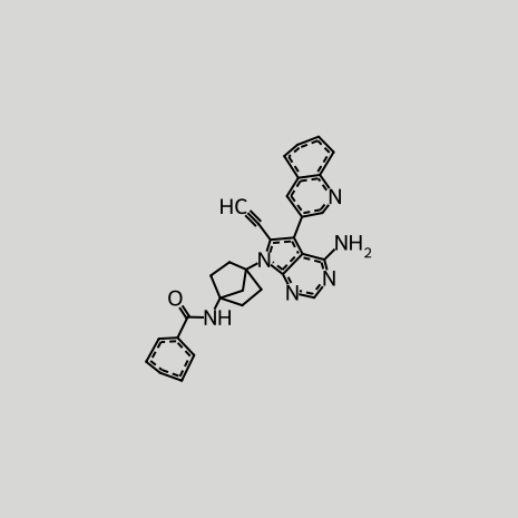 C#Cc1c(-c2cnc3ccccc3c2)c2c(N)ncnc2n1C12CCC(NC(=O)c3ccccc3)(CC1)C2